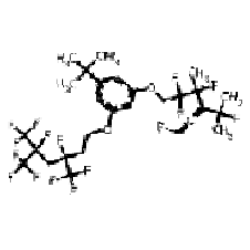 CC(C)(F)C(=C=CF)C(C)(F)C(F)(F)COc1cc(OCCC(F)(CC(F)(C(F)(F)F)C(F)(F)F)C(F)(F)F)cc(C(C)(C)C)c1